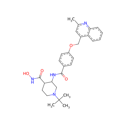 Cc1cc(COc2ccc(C(=O)NC3CN(C(C)(C)C)CCC3C(=O)NO)cc2)c2ccccc2n1